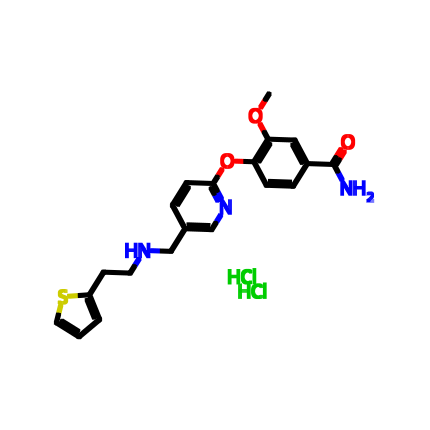 COc1cc(C(N)=O)ccc1Oc1ccc(CNCCc2cccs2)cn1.Cl.Cl